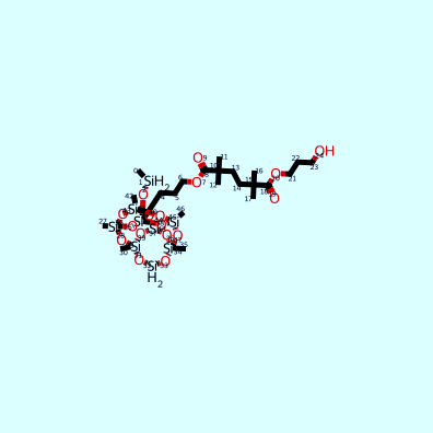 C[SiH2]O[Si]1(CCCOC(=O)C(C)(C)CCC(C)(C)C(=O)OCCCO)O[Si]2(C)O[Si]3(C)O[SiH2]O[Si]4(C)O[Si](C)(O3)O[Si](C)(O2)O[Si](C)(O4)O1